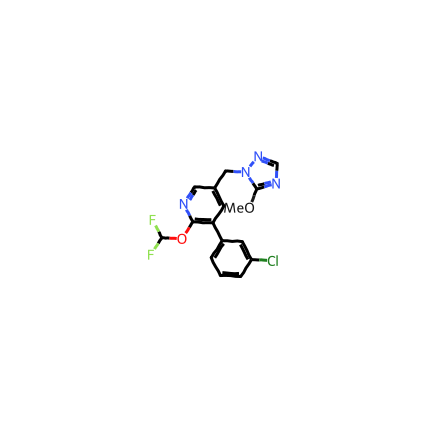 COc1ncnn1Cc1cnc(OC(F)F)c(-c2cccc(Cl)c2)c1